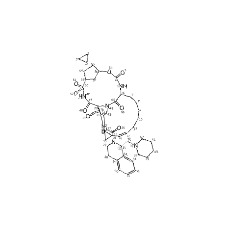 C1CC1.O=C1NC2CCCCCC=CC3CC3NC(=O)C3(CC(OC(=O)N4CCc5ccccc5[C@H]4CN4CCCCC4)CN3C2=O)C(=O)NS(=O)(=O)C2CCC(C2)O1